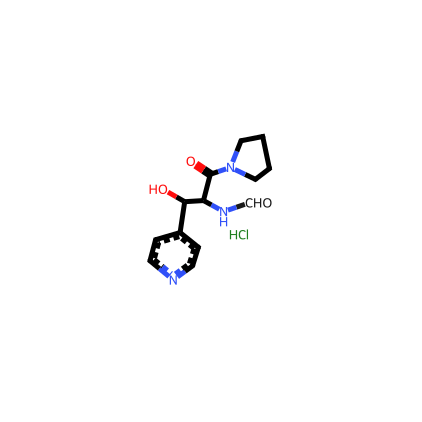 Cl.O=CNC(C(=O)N1CCCC1)C(O)c1ccncc1